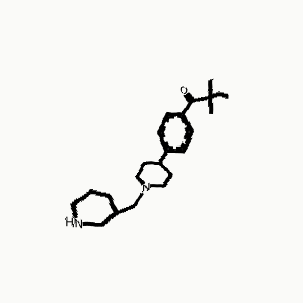 CC(C)(C)C(=O)c1ccc(C2CCN(CC3CCCNC3)CC2)cc1